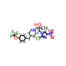 CC(O)(CN1CCC(Cc2ccc(OC(F)(F)F)cc2)CC1)Cn1cc([N+](=O)[O-])nc1Cl